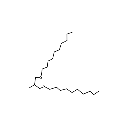 [CH2]C(CSCCCCCCCCCC)CSCCCCCCCCCC